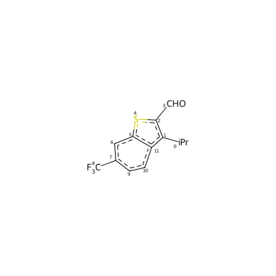 CC(C)c1c(C=O)sc2cc(C(F)(F)F)ccc12